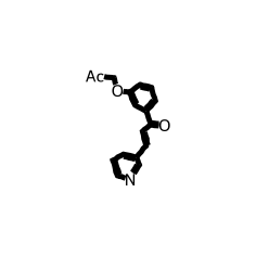 CC(=O)COc1cccc(C(=O)/C=C/c2cccnc2)c1